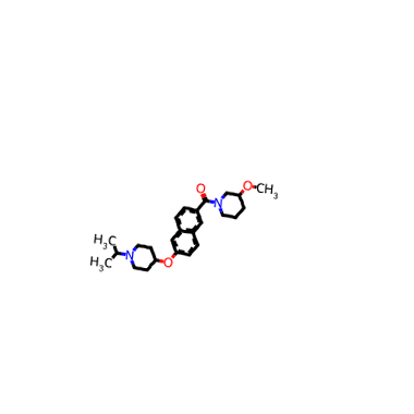 COC1CCCN(C(=O)c2ccc3cc(OC4CCN(C(C)C)CC4)ccc3c2)C1